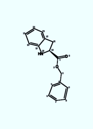 O=C(OCc1ccccc1)[C@@H]1Cc2ccccc2N1